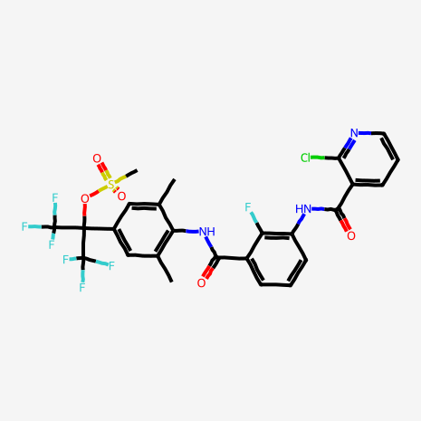 Cc1cc(C(OS(C)(=O)=O)(C(F)(F)F)C(F)(F)F)cc(C)c1NC(=O)c1cccc(NC(=O)c2cccnc2Cl)c1F